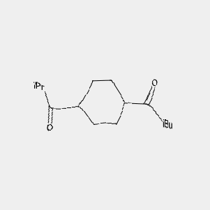 CCC(C)C(=O)C1CCC(C(=O)C(C)C)CC1